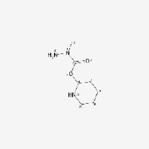 CN(N)C(=O)OC1CCCCN1